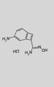 Cl.NC(=NO)C1=Cc2ccc(N)cc21